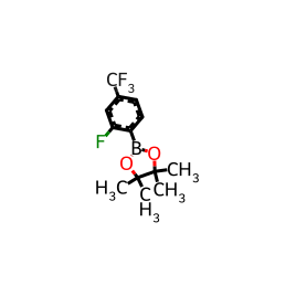 CC1(C)OB(c2ccc(C(F)(F)F)cc2F)OC1(C)C